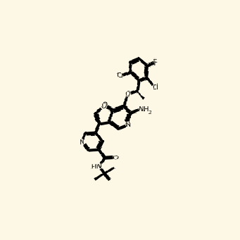 C[C@@H](Oc1c(N)ncc2c(-c3cncc(C(=O)NC(C)(C)C)c3)coc12)c1c(Cl)ccc(F)c1Cl